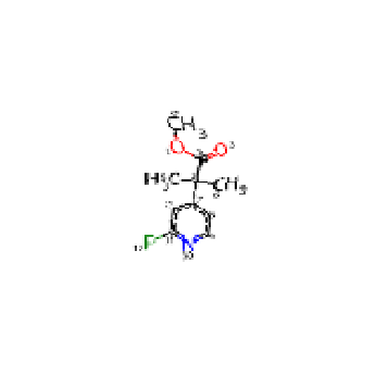 COC(=O)C(C)(C)c1ccnc(F)c1